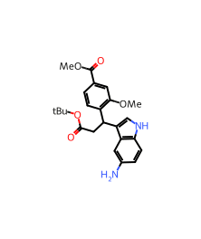 COC(=O)c1ccc(C(CC(=O)OC(C)(C)C)c2c[nH]c3ccc(N)cc23)c(OC)c1